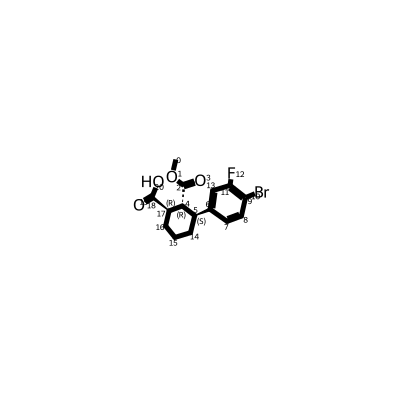 COC(=O)[C@@H]1[C@@H](c2ccc(Br)c(F)c2)CCC[C@H]1C(=O)O